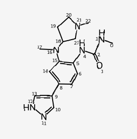 CNC(=O)Nc1ccc(-c2cn[nH]c2)cc1N(C)C1CCN(C)C1